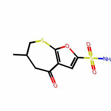 CC1CSc2oc(S(N)(=O)=O)cc2C(=O)C1